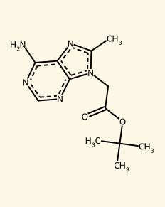 Cc1nc2c(N)ncnc2n1CC(=O)OC(C)(C)C